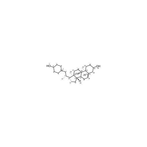 C[C@H](CN1CCC(O)CC1)[C@H]1CC[C@H]2[C@@H]3CC=C4CC(O)CC[C@]4(C)[C@H]3CC[C@]12C